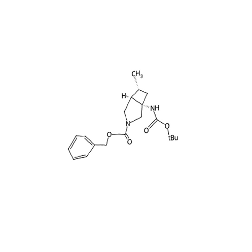 C[C@@H]1C[C@@]2(NC(=O)OC(C)(C)C)CN(C(=O)OCc3ccccc3)C[C@@H]12